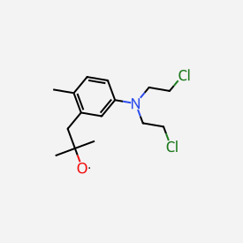 Cc1ccc(N(CCCl)CCCl)cc1CC(C)(C)[O]